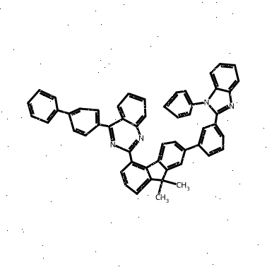 CC1(C)c2cc(-c3cccc(-c4nc5ccccc5n4-c4ccccc4)c3)ccc2-c2c(-c3nc(-c4ccc(-c5ccccc5)cc4)c4ccccc4n3)cccc21